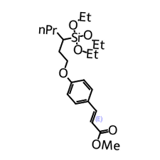 CCCC(CCOc1ccc(/C=C/C(=O)OC)cc1)[Si](OCC)(OCC)OCC